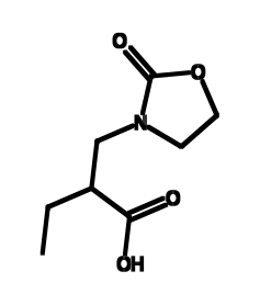 CCC(CN1CCOC1=O)C(=O)O